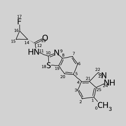 Cc1ccc(-c2ccc3nc(NC(=O)[C@@H]4CC4F)sc3c2)c2cn[nH]c12